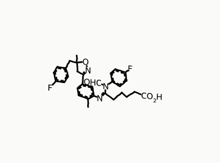 Cc1ccc(C2=NOC(C)(Cc3ccc(F)cc3)C2)cc1/N=C(/CCCCC(=O)O)N(C=O)c1ccc(F)cc1